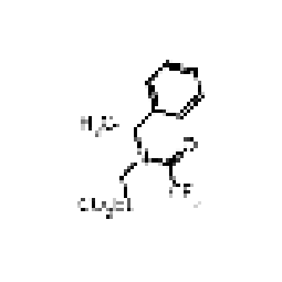 CCOC(=O)CN(C(=O)C(F)(F)F)[C@H](C)c1ccccc1